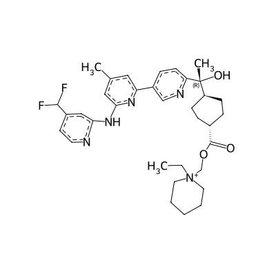 CC[N+]1(COC(=O)[C@H]2CC[C@H]([C@@](C)(O)c3ccc(-c4cc(C)cc(Nc5cc(C(F)F)ccn5)n4)cn3)CC2)CCCCC1